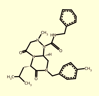 Cc1ccc(CN2C[C@H]3N(C(=O)CN(C)N3C(=O)NCc3ccccc3)[C@@H](CC(C)C)C2=O)cc1